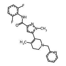 CC1=C(c2cc(C(=O)Nc3c(F)cccc3F)nn2C)CN(Cc2ccccn2)CC1